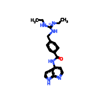 CC/N=C(/NCC)NCc1ccc(C(=O)Nc2ccnc3[nH]ccc23)cc1